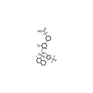 COc1cc(-c2cccc(C(C)(C)C(=O)O)c2)cnc1CN(Cc1ccc(C(F)(F)F)o1)S(=O)(=O)c1c(C)ccc2ccccc12